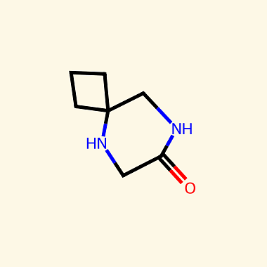 O=C1CNC2(CCC2)CN1